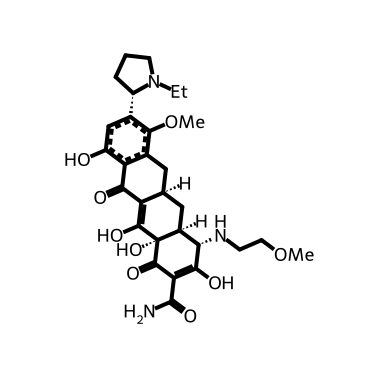 CCN1CCC[C@H]1c1cc(O)c2c(c1OC)C[C@H]1C[C@H]3[C@H](NCCOC)C(O)=C(C(N)=O)C(=O)[C@@]3(O)C(O)=C1C2=O